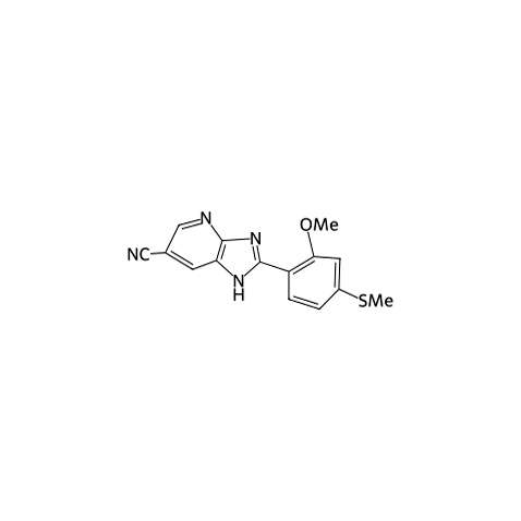 COc1cc(SC)ccc1-c1nc2ncc(C#N)cc2[nH]1